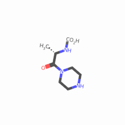 C[C@H](NC(=O)O)C(=O)N1CCNCC1